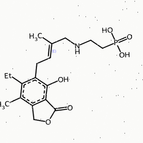 CCc1c(C)c2c(c(O)c1C/C=C(\C)CNCCP(=O)(O)O)C(=O)OC2